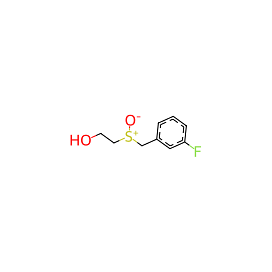 [O-][S+](CCO)Cc1cccc(F)c1